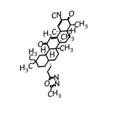 [C-]#[N+]C1=C[C@]2(C)C3=CC(=O)[C@@H]4[C@@H]5CC(C)(C)CC[C@]5(CCc5nnc(C)o5)CC[C@@]4(C)[C@]3(C)CC[C@H]2[C@H](C)C1=O